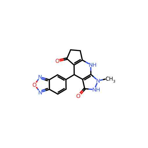 Cn1[nH]c(=O)c2c1NC1=C(C(=O)CC1)C2c1ccc2nonc2c1